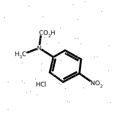 CN(C(=O)O)c1ccc([N+](=O)[O-])cc1.Cl